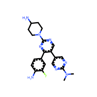 CN(C)c1ncc(-c2cnc(N3CCC(N)CC3)nc2-c2ccc(N)c(F)c2)cn1